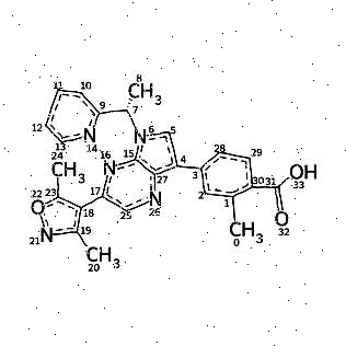 Cc1cc(-c2cn([C@@H](C)c3ccccn3)c3nc(-c4c(C)noc4C)cnc23)ccc1C(=O)O